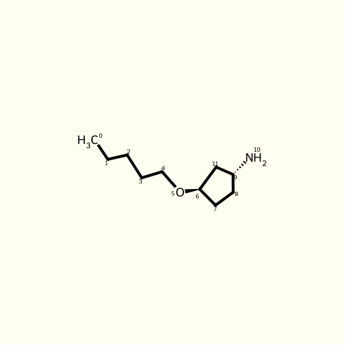 CCCCCO[C@@H]1CC[C@@H](N)C1